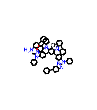 C=C1N(c2ccccc2)c2ccc(-c3cc(-c4ccc5c(c4)n4c6cc(-c7ccccc7)ccc6nc4n5-c4ccccc4)c(-n4c5ccccc5c5ccccc54)c(C#N)c3-n3c4ccccc4c4ccccc43)cc2N1c1cc(-c2ccccc2)ccc1N